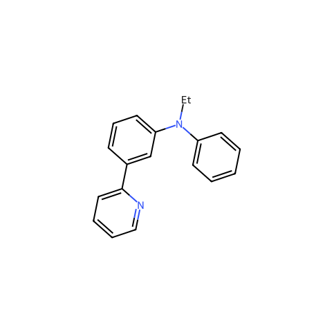 CCN(c1ccccc1)c1cccc(-c2ccccn2)c1